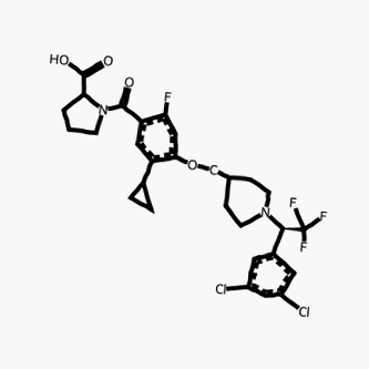 O=C(O)C1CCCN1C(=O)c1cc(C2CC2)c(OCC2CCN([C@H](c3cc(Cl)cc(Cl)c3)C(F)(F)F)CC2)cc1F